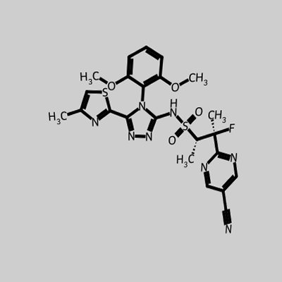 COc1cccc(OC)c1-n1c(NS(=O)(=O)[C@@H](C)[C@@](C)(F)c2ncc(C#N)cn2)nnc1-c1nc(C)cs1